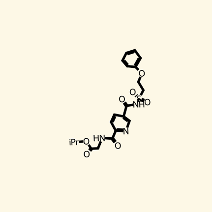 CC(C)OC(=O)CNC(=O)c1ccc(C(=O)NS(=O)(=O)CCOc2ccccc2)cn1